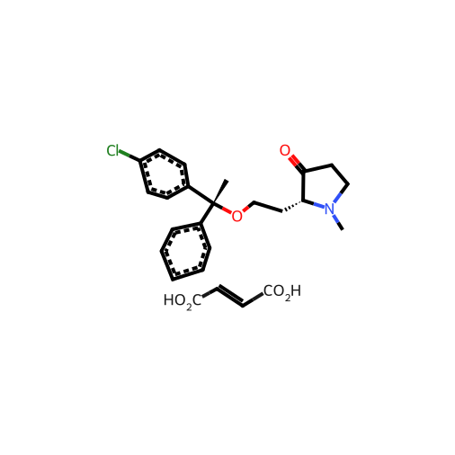 CN1CCC(=O)[C@H]1CCO[C@](C)(c1ccccc1)c1ccc(Cl)cc1.O=C(O)/C=C/C(=O)O